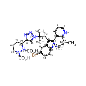 CCn1c(-c2cccnc2[C@H](C)OC)c(CC(C)(C)n2cc([C@@H]3CCCN(C(=O)O)N3C(=O)O)nn2)c2cc(Br)ccc21